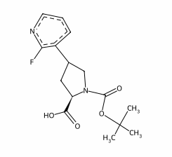 CC(C)(C)OC(=O)N1CC(c2cccnc2F)C[C@@H]1C(=O)O